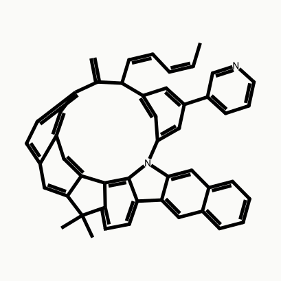 C=C1c2ccc3cc4c(cc3c2)-c2c(ccc3c5cc6ccccc6cc5n(c23)-c2cc(-c3cccnc3)cc(c2)C1/C=C\C=C/C)C4(C)C